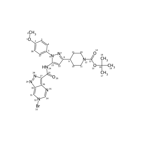 COc1ccc(-n2nc(C3CCN(C(=O)OC(C)(C)C)CC3)cc2NC(=O)c2nnc3cn(Br)cnc2-3)cc1